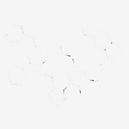 O=C(OC[C@H]1O[C@@H](OCc2ccccc2)[C@H](OC(=O)c2ccccc2)[C@@H](OC(=O)c2ccccc2)[C@@H]1O[C@@H]1O[C@H](CO)[C@H](O)[C@H](O)[C@H]1OC(=O)c1ccccc1)c1ccccc1